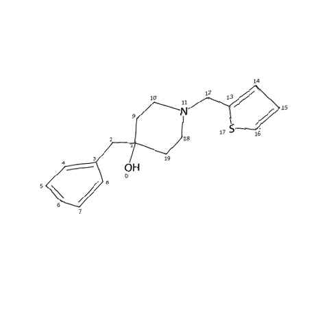 OC1(Cc2ccccc2)CCN(Cc2cc[c]s2)CC1